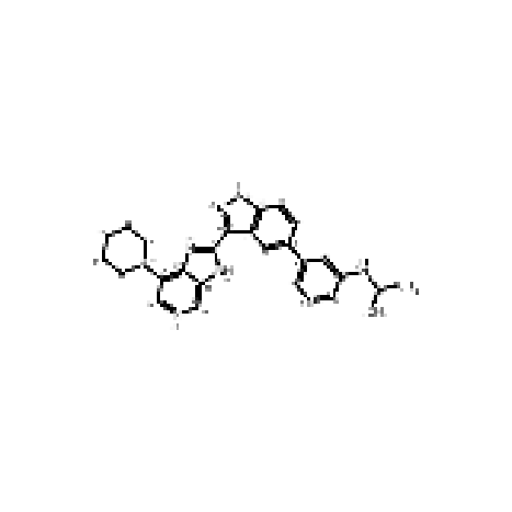 CC(C)Nc1cncc(-c2ccc3[nH]nc(-c4nc5c(N6CCCCC6)cncc5[nH]4)c3c2)c1